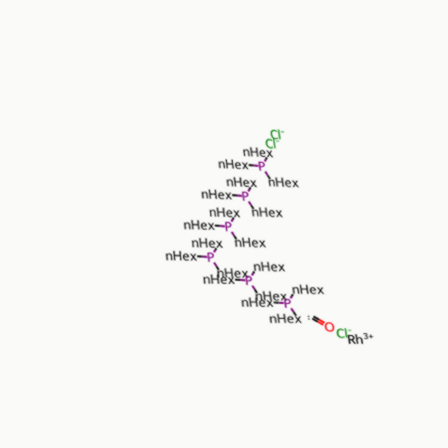 CCCCCCP(CCCCCC)CCCCCC.CCCCCCP(CCCCCC)CCCCCC.CCCCCCP(CCCCCC)CCCCCC.CCCCCCP(CCCCCC)CCCCCC.CCCCCCP(CCCCCC)CCCCCC.CCCCCCP(CCCCCC)CCCCCC.[C]=O.[Cl-].[Cl-].[Cl-].[Rh+3]